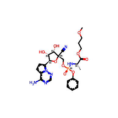 COCCCOC(=O)[C@H](C)N[P@@](=O)(OC[C@@]1(C#N)O[C@@H](c2ccc3c(N)ncnn23)[C@H](O)[C@@H]1O)Oc1ccccc1